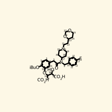 CC(C)COc1ccc(CC(=O)N(Cc2ccc(F)cc2)C2CCN(CCC3CCOCO3)CC2)cc1OC(C(=O)O)C(O)C(=O)O